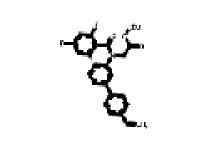 C=Cc1ccc(-c2cccc(N(CC(=O)OC(C)(C)C)C(=O)c3c(F)cc(F)cc3F)c2)cc1